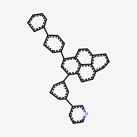 c1ccc(-c2ccc(-c3cc(-c4cccc(-c5cccnc5)c4)c4ccc5cccc6ccc3c4c65)cc2)cc1